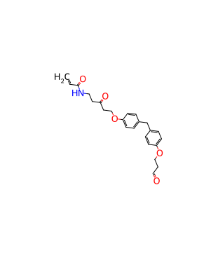 C=CC(=O)NCCC(=O)CCOc1ccc(Cc2ccc(OCCC=O)cc2)cc1